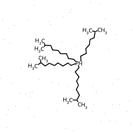 CC(C)CCCCCCC[PH](CCCCCCCC(C)C)(CCCCCCCC(C)C)CCCCCCCC(C)C